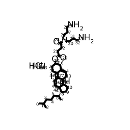 CC(C)CCCC(C)[C@H]1CC[C@H]2[C@@H]3CC=C4C[C@@H](OC(=O)CCC(=O)N(CCCN)CCCN)CC[C@]4(C)[C@H]3CC[C@]12C.Cl.Cl